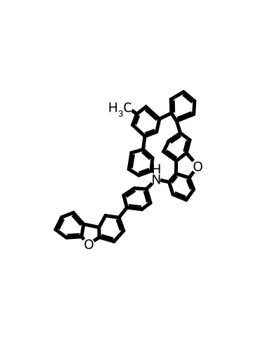 Cc1cc(-c2ccccc2)cc(-c2ccccc2-c2ccc3c(c2)oc2cccc(Nc4ccc(C5=CC=C6Oc7ccccc7C6C5)cc4)c23)c1